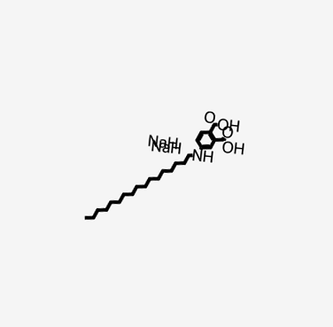 CCCCCCCCCCCCCCCCCNc1ccc(C(=O)O)c(C(=O)O)c1.[NaH].[NaH]